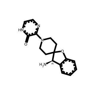 N[C@@H]1c2ccccc2OC12CCN(c1nc[c][nH]c1=O)CC2